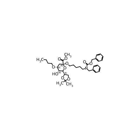 CCCCO[C@@H]1C[C@](OCCCCCN(Cc2ccccc2)C(=O)OCc2ccccc2)(C(=O)OC)OC([C@H]2COC(C)(C)O2)[C@@H]1O